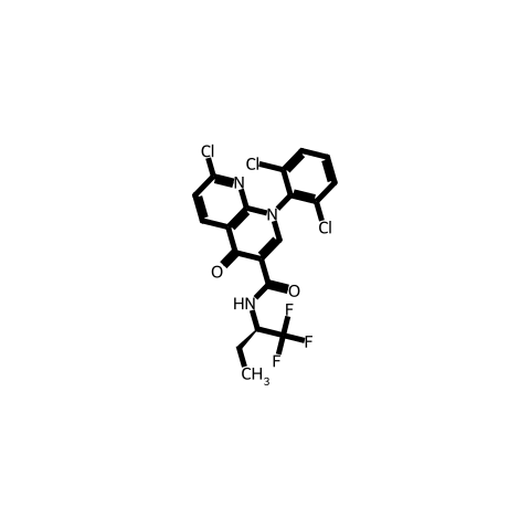 CC[C@@H](NC(=O)c1cn(-c2c(Cl)cccc2Cl)c2nc(Cl)ccc2c1=O)C(F)(F)F